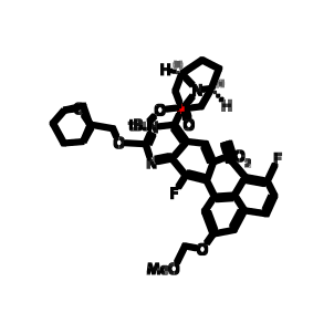 C#Cc1c(F)ccc2cc(OCOC)cc(-c3c([N+](=O)[O-])cc4c(N5C[C@H]6CC[C@@H](C5)N6C(=O)OC(C)(C)C)nc(OCC5OC6CCC5CC6)nc4c3F)c12